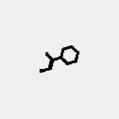 F/C(=C\Cl)N1CCOCC1